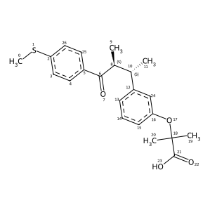 CSc1ccc(C(=O)[C@@H](C)[C@H](C)c2cccc(OC(C)(C)C(=O)O)c2)cc1